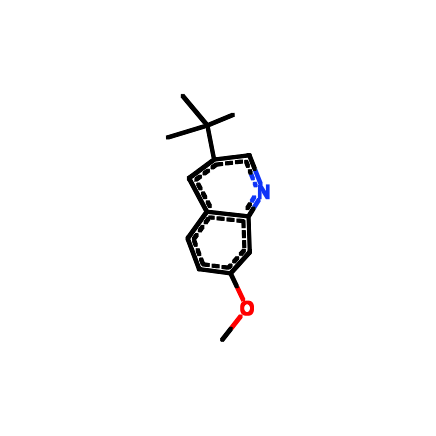 COc1ccc2cc(C(C)(C)C)cnc2c1